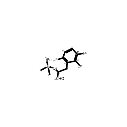 CC(C)(C)[Si](C)(C)OC(C=O)Cc1c(F)ccc(F)c1F